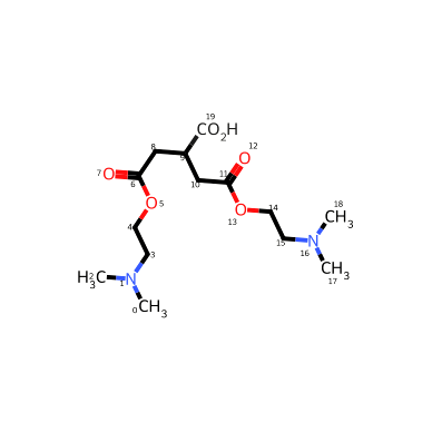 CN(C)CCOC(=O)CC(CC(=O)OCCN(C)C)C(=O)O